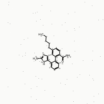 CCCCCc1ccc(C(N)=O)c(-c2ccccc2-c2cnc(N)[nH]2)c1